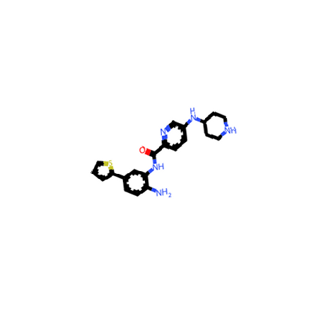 Nc1ccc(-c2cccs2)cc1NC(=O)c1ccc(NC2CCNCC2)cn1